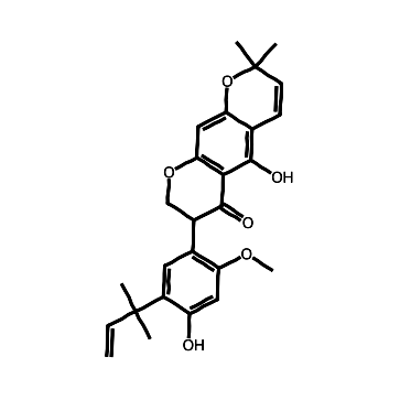 C=CC(C)(C)c1cc(C2COc3cc4c(c(O)c3C2=O)C=CC(C)(C)O4)c(OC)cc1O